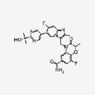 Cc1nc2cc(F)c(-c3cnc(C(C)(C)O)nc3)cn2c1CN1C(=O)C(C)Oc2c(F)cc(C(N)=O)cc21